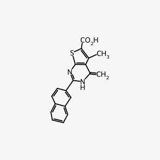 C=C1NC(c2ccc3ccccc3c2)=Nc2sc(C(=O)O)c(C)c21